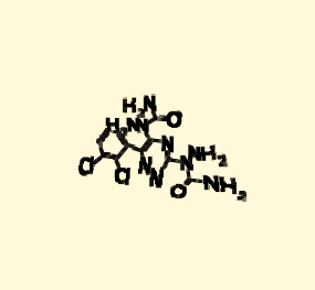 NC(=O)N(N)c1nnc(-c2cccc(Cl)c2Cl)c(N(N)C(N)=O)n1